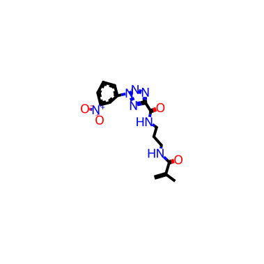 C=C(C)C(=O)NCCCNC(=O)c1nnn(-c2cccc([N+](=O)[O-])c2)n1